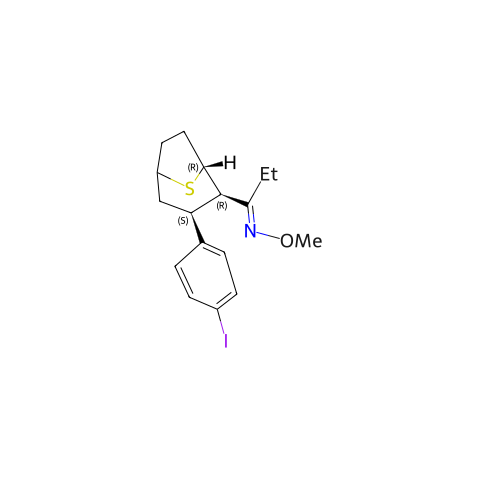 CCC(=NOC)[C@H]1[C@@H](c2ccc(I)cc2)CC2CC[C@H]1S2